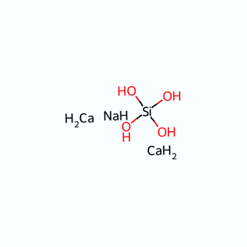 O[Si](O)(O)O.[CaH2].[CaH2].[NaH]